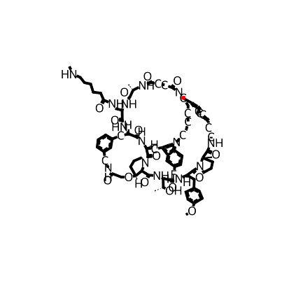 CNCCCCCC(=O)NCC1NC(=O)[C@H](C)NC(=O)CCC(=O)N2CCCCCCn3cc(c4cc(F)ccc43)C[C@@H]3NC(=O)[C@H](Cc4cccc(c4)CNC(=O)CO[C@H]4CCCN(C3=O)C4C(=O)NC([C@@H](C)O)C(=O)N[C@@H](Cc3ccc(OC)cc3)C(=O)N3CCC[C@@]3(C)C(=O)NCCc3ccc(cc3)C2)NC1=O